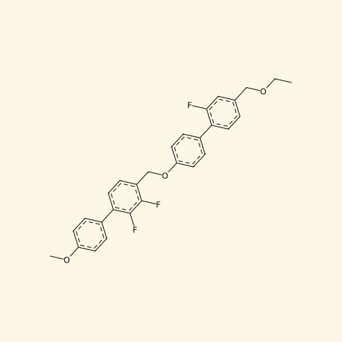 CCOCc1ccc(-c2ccc(OCc3ccc(-c4ccc(OC)cc4)c(F)c3F)cc2)c(F)c1